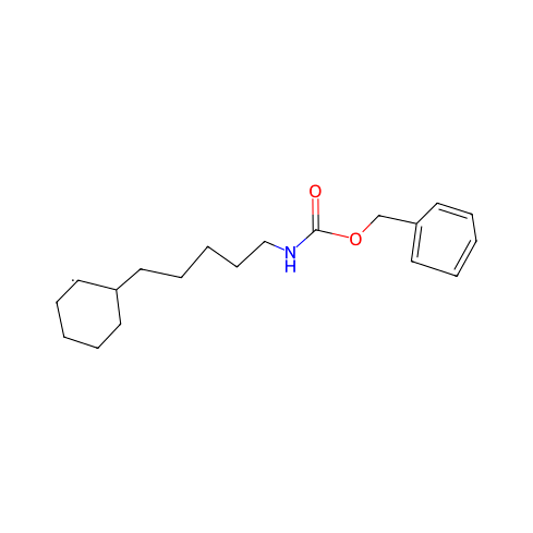 O=C(NCCCCCC1[CH]CCCC1)OCc1ccccc1